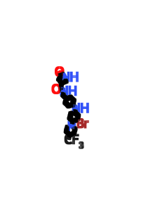 O=C1CC(C(=O)NCc2ccc(Nc3ccc(N4CCC(C(F)(F)F)CC4)c(Br)c3)cc2)CN1